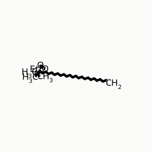 C=CCCCCCCCCCCCCCCCCCCCCCC(CC)(P(=O)=O)[N+](C)(C)C